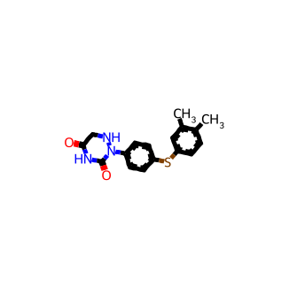 Cc1ccc(Sc2ccc(N3NCC(=O)NC3=O)cc2)cc1C